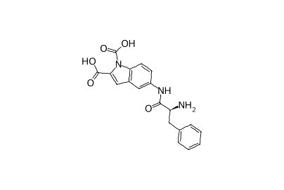 N[C@@H](Cc1ccccc1)C(=O)Nc1ccc2c(c1)cc(C(=O)O)n2C(=O)O